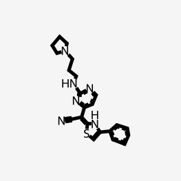 N#C/C(=C1/NC(c2ccccc2)=CS1)c1ccnc(NCCCN2CCCC2)n1